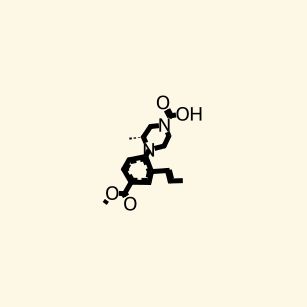 CC=Cc1cc(C(=O)OC)ccc1N1CCN(C(=O)O)C[C@H]1C